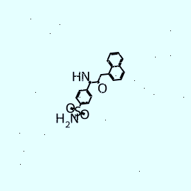 N=C(C(=O)Cc1cccc2ccccc12)c1ccc(S(N)(=O)=O)cc1